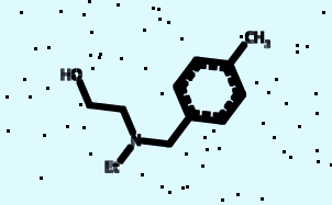 CCN(CCO)Cc1ccc(C)cc1